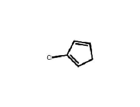 ClC1=CCC=C1